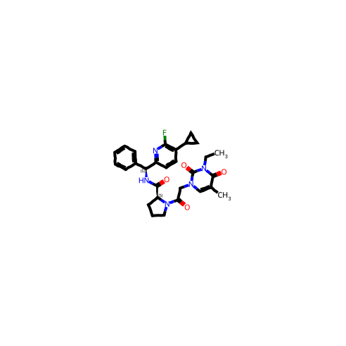 CCn1c(=O)c(C)cn(CC(=O)N2CCC[C@H]2C(=O)N[C@@H](c2ccccc2)c2ccc(C3CC3)c(F)n2)c1=O